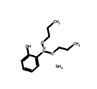 CCCO[SiH](OCCC)c1ccccc1O.[SiH4]